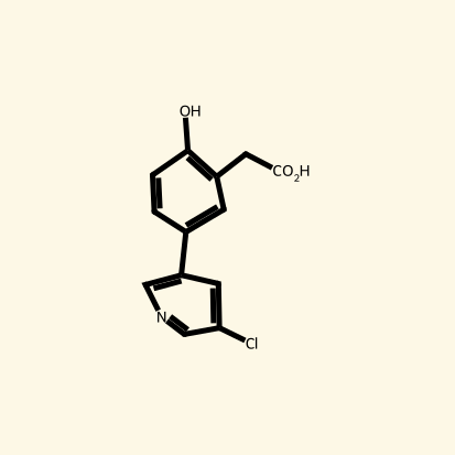 O=C(O)Cc1cc(-c2cncc(Cl)c2)ccc1O